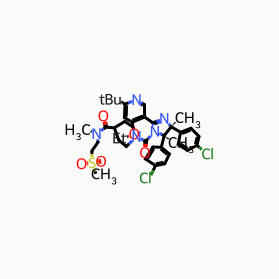 CCOc1cc(C(C)(C)C)ncc1C1=N[C@@](C)(c2ccc(Cl)cc2)[C@@](C)(c2ccc(Cl)cc2)N1C(=O)N1CCC(C(=O)N(C)CCS(C)(=O)=O)CC1